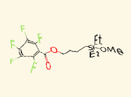 CC[Si](CC)(CCCCOC(=O)c1c(F)c(F)c(F)c(F)c1F)OC